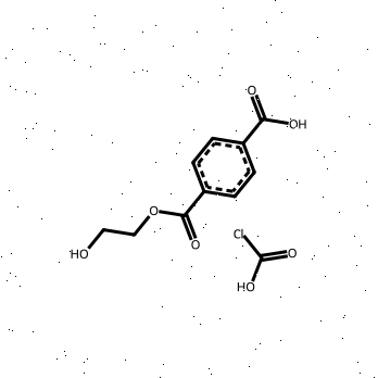 O=C(O)Cl.O=C(O)c1ccc(C(=O)OCCO)cc1